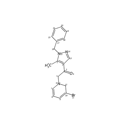 Cc1c(C(=O)CN2C=CC=C(Br)C2)cnn1Cc1ccccc1